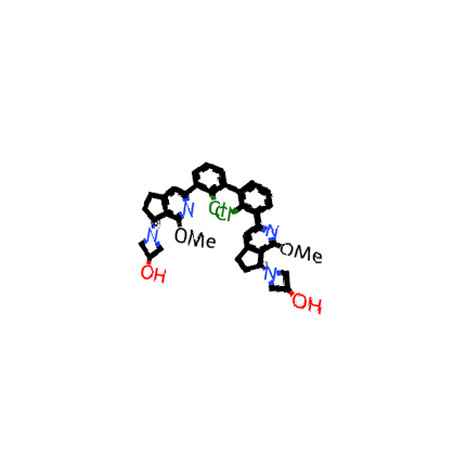 COc1nc(-c2cccc(-c3cccc(-c4cc5c(c(OC)n4)[C@@H](N4CC(O)C4)CC5)c3Cl)c2Cl)cc2c1[C@@H](N1CC(O)C1)CC2